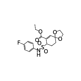 CCOC(=O)C1=CC2(CCC1S(=O)(=O)Nc1ccc(F)cc1)OCCO2